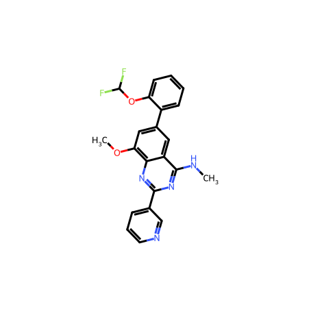 CNc1nc(-c2cccnc2)nc2c(OC)cc(-c3ccccc3OC(F)F)cc12